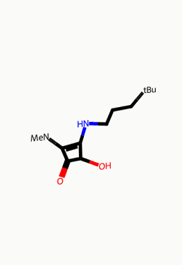 CNC1=C(NCCCC(C)(C)C)C(O)C1=O